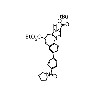 CCOC(=O)C1=Cc2cc(-c3ccc(C(=O)N4CCCC4)cc3)ccc2N=C(NNC(=O)OC(C)(C)C)C1